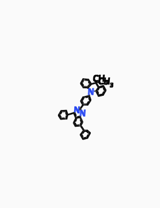 CC1(C)c2ccccc2N(c2ccc(-c3nc(-c4ccccc4)c4ccc(-c5ccccc5)cc4n3)cc2)c2ccccc21